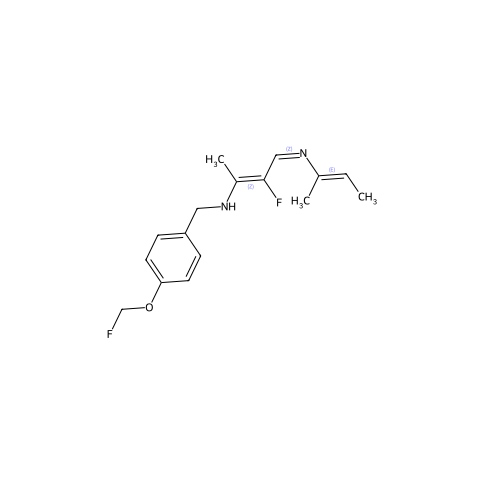 C/C=C(C)/N=C\C(F)=C(/C)NCc1ccc(OCF)cc1